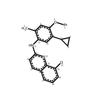 Cc1cc(OC(C)C)c(C2CC2)cc1Nc1ccc2cccc(Cl)c2n1